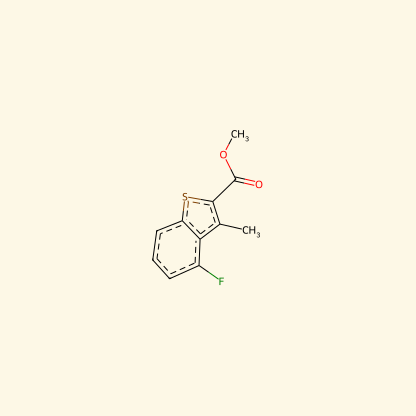 COC(=O)c1sc2cccc(F)c2c1C